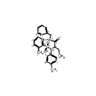 CCC(C(=O)NCc1ccccn1)N(c1ccc(C)cc1)S(=O)(=O)c1ncccc1C